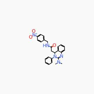 CN(C)C1=Nc2ccccc2C(CC(=O)NCc2ccc([N+](=O)[O-])cc2)N1c1ccccc1